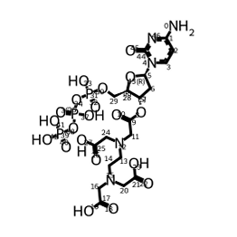 Nc1ccn([C@H]2C[C@H](OC(=O)CN(CCN(CC(=O)O)CC(=O)O)CC(=O)O)[C@@H](COP(=O)(O)OP(=O)(O)OP(=O)(O)O)O2)c(=O)n1